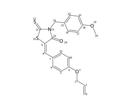 C=CCOc1ccc(C=C2SC(=S)N(Cc3ccc(OC)cc3)C2=O)cc1